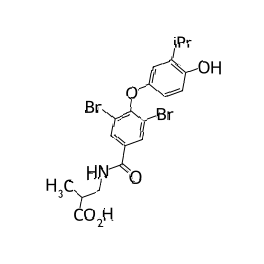 CC(CNC(=O)c1cc(Br)c(Oc2ccc(O)c(C(C)C)c2)c(Br)c1)C(=O)O